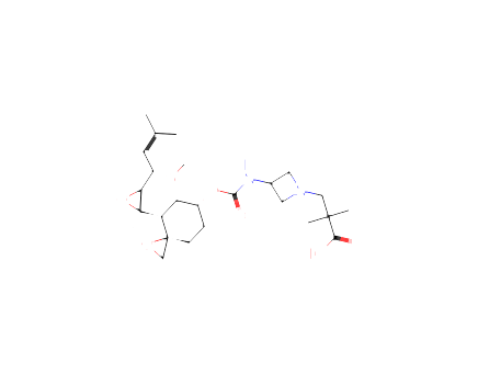 CO[C@@H]1[C@H](OC(=O)NC2CN(CC(C)(C)C(=O)O)C2)CC[C@]2(CO2)[C@H]1[C@@]1(C)OC1CC=C(C)C